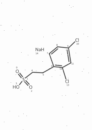 O=S(=O)(O)CCc1ccc(Cl)cc1Cl.[NaH]